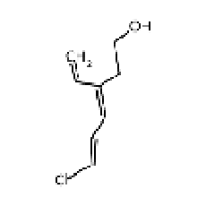 C=C/C(=C\C=C\Cl)CCO